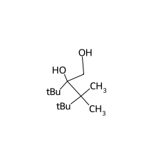 CC(C)(C)C(C)(C)C(O)(CO)C(C)(C)C